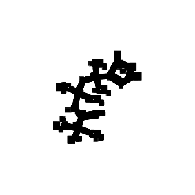 CC(C)(CC(C)(C)C1=CNNN1)OC(=O)C(C)(C)Br